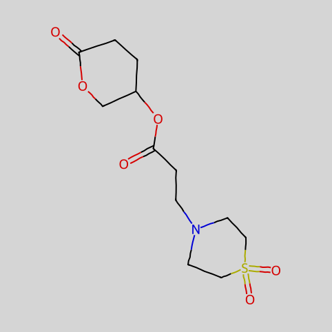 O=C1CCC(OC(=O)CCN2CCS(=O)(=O)CC2)CO1